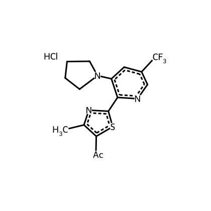 CC(=O)c1sc(-c2ncc(C(F)(F)F)cc2N2CCCC2)nc1C.Cl